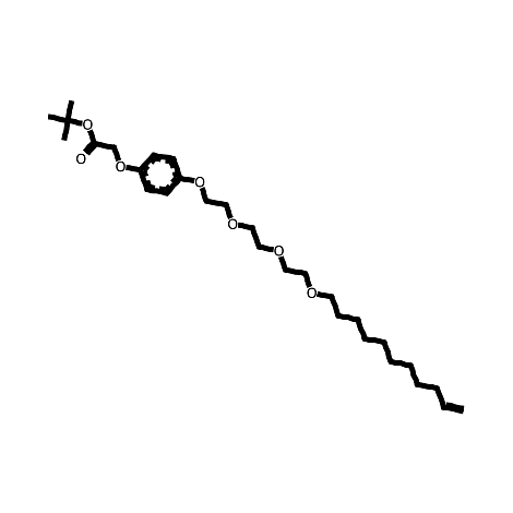 C=CCCCCCCCCCOCCOCCOCCOc1ccc(OCC(=O)OC(C)(C)C)cc1